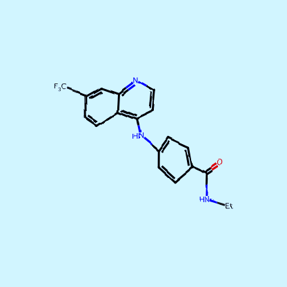 CCNC(=O)c1ccc(Nc2ccnc3cc(C(F)(F)F)ccc23)cc1